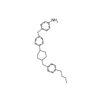 CCCCc1ccc(CC2CCC(c3ccc(Cc4ccc(N)cc4)cc3)CC2)cc1